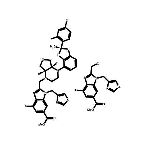 COC(=O)c1cc(F)c2nc(CCl)n(Cc3cocn3)c2c1.COC(=O)c1cc(F)c2nc(CN3CCN(c4cccc5c4O[C@](C)(c4ccc(Cl)cc4F)O5)[C@H]4COC[C@H]43)n(Cc3cocn3)c2c1